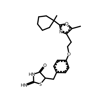 Cc1oc(C2(C)CCCCC2)nc1CCOc1ccc(CC2SC(=N)NC2=O)cc1